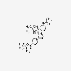 CC(=O)Nc1ccc(-c2cnc(N3CCC(C(=O)OC(C)(C)C)CC3)s2)c(S(=O)(=O)NC(C)(C)C)c1